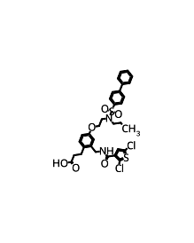 CCCN(CCOc1ccc(CCC(=O)O)c(CNC(=O)c2cc(Cl)sc2Cl)c1)S(=O)(=O)c1ccc(-c2ccccc2)cc1